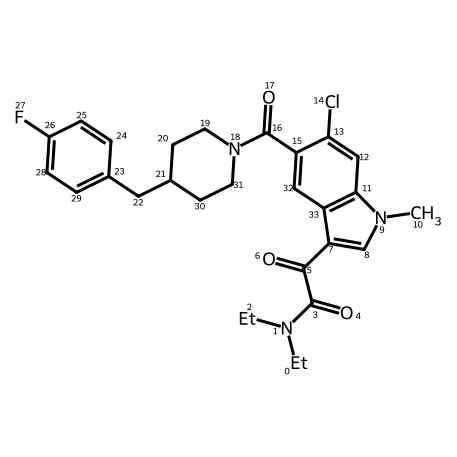 CCN(CC)C(=O)C(=O)c1cn(C)c2cc(Cl)c(C(=O)N3CCC(Cc4ccc(F)cc4)CC3)cc12